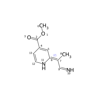 COC(=O)C1=C/C(=C(\C)C=N)NC=C1